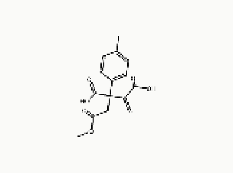 C=C(C(=O)O)C(CC(=O)OC)(C(=O)O)c1ccc(C)cc1